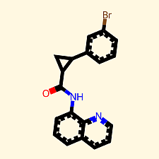 O=C(Nc1cccc2cccnc12)C1CC1c1cccc(Br)c1